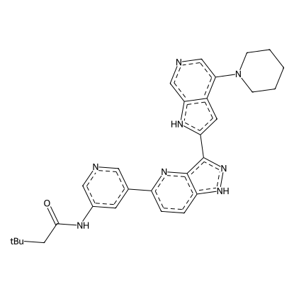 CC(C)(C)CC(=O)Nc1cncc(-c2ccc3[nH]nc(-c4cc5c(N6CCCCC6)cncc5[nH]4)c3n2)c1